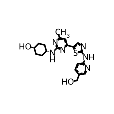 Cc1cc(-c2cnc(Nc3ccc(CO)cn3)s2)nc(N[C@H]2CC[C@H](O)CC2)n1